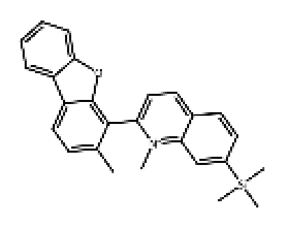 Cc1ccc2c(oc3ccccc32)c1-c1ccc2ccc([Si](C)(C)C)cc2[n+]1C